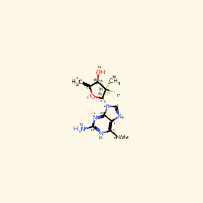 C=C1O[C@@H](n2cnc3c(NC)nc(N)nc32)[C@](C)(F)[C@@H]1O